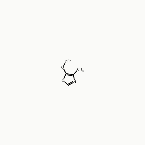 CCCOc1ocnc1C